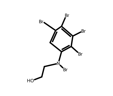 OCCN(Br)c1cc(Br)c(Br)c(Br)c1Br